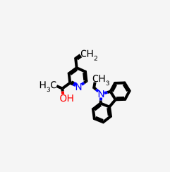 C=Cc1ccnc(C(C)O)c1.CCn1c2ccccc2c2ccccc21